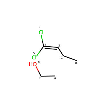 CCC=C(Cl)Cl.CCO